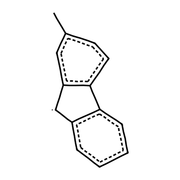 Cc1ccc2c(c1)[CH]c1ccccc1-2